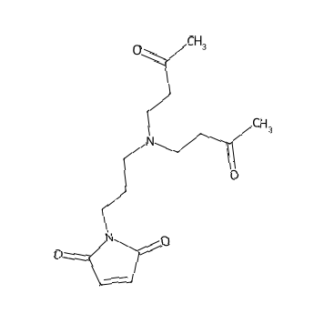 CC(=O)CCN(CCCN1C(=O)C=CC1=O)CCC(C)=O